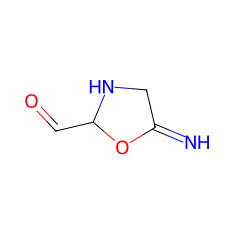 N=C1CNC(C=O)O1